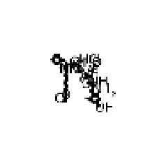 CSCC[C@@H](NC(=O)[C@H](N)Cc1c(C)cc(O)cc1C)C(=O)NCC(=O)NC(=O)[C@H](Cc1ccccc1)N(C)CCCCCCOC(C)=O.Cl.O